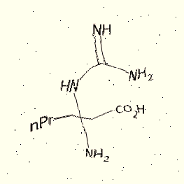 CCCC(N)(NC(=N)N)C(=O)O